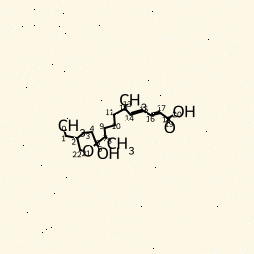 CCC1CCC(O)(C(C)CCCC(C)/C=C/C=C/C(=O)O)OC1